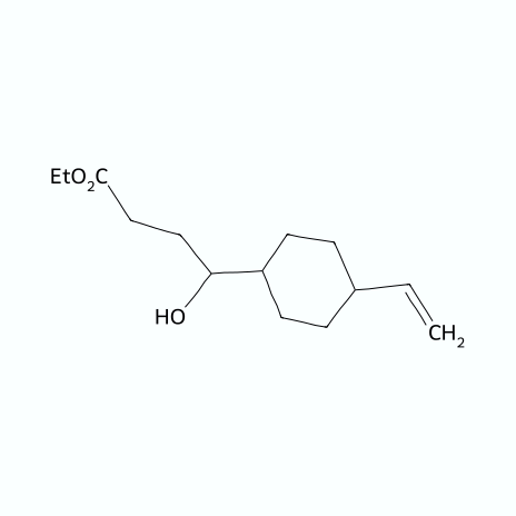 C=CC1CCC(C(O)CCC(=O)OCC)CC1